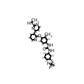 CNc1nccc(-c2cccnc2Oc2ccc(NC(=O)Nc3cccc(SC(F)(F)F)c3)cc2C)n1